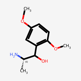 COc1ccc(OC)c(C(O)[C@H](C)N)c1